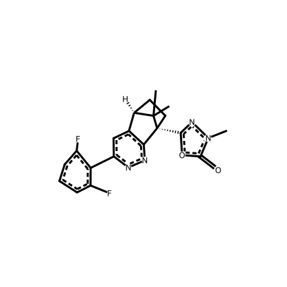 Cn1nc([C@]23CC[C@H](c4cc(-c5c(F)cccc5F)nnc42)C3(C)C)oc1=O